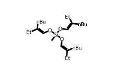 CCCCC(=CO[Si](C)(OC=C(CC)CCCC)OC=C(CC)CCCC)CC